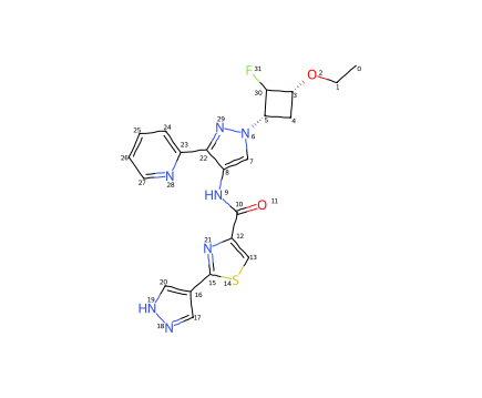 CCO[C@@H]1C[C@H](n2cc(NC(=O)c3csc(-c4cn[nH]c4)n3)c(-c3ccccn3)n2)C1F